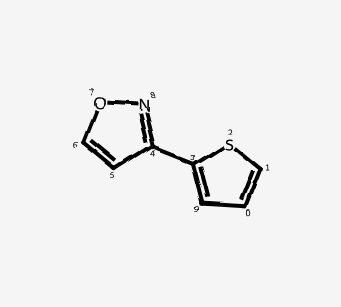 c1csc(-c2ccon2)c1